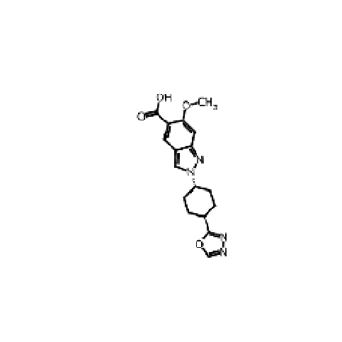 COc1cc2nn([C@H]3CC[C@H](c4nnco4)CC3)cc2cc1C(=O)O